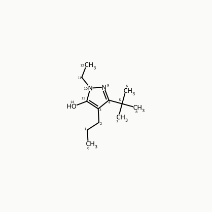 CCCc1c(C(C)(C)C)nn(CC)c1O